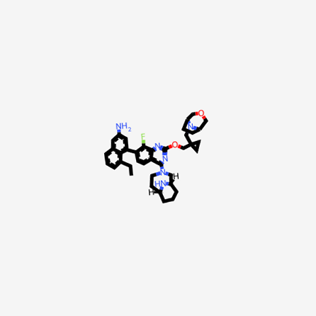 CCc1cccc2cc(N)cc(-c3ccc4c(N5CC[C@H]6CCC[C@@H](C5)N6)nc(OCC5(CN6C7CCC6COC7)CC5)nc4c3F)c12